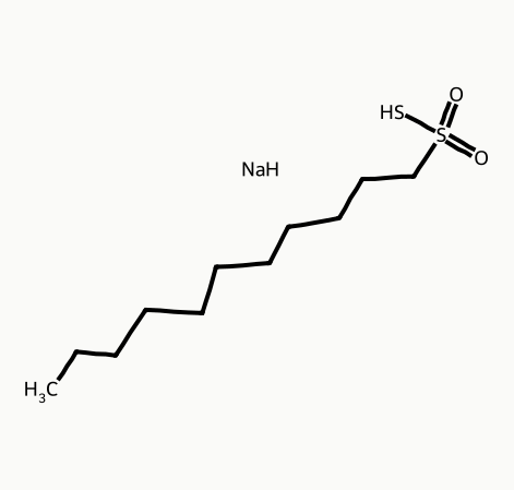 CCCCCCCCCCCS(=O)(=O)S.[NaH]